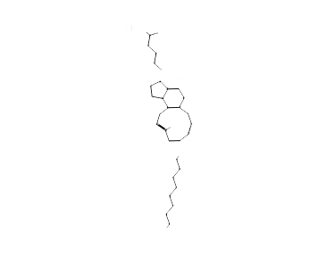 CCCCCCCCCO[C@H]1CCCC2CC[C@@]3(C)C(CC[C@@H]3CCCCC(C)C)C2C/C=C(\C)C1